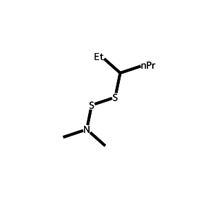 CCCC(CC)SSN(C)C